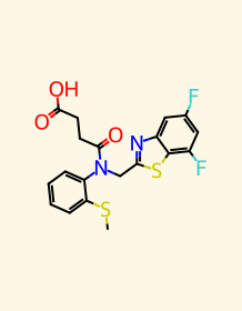 CSc1ccccc1N(Cc1nc2cc(F)cc(F)c2s1)C(=O)CCC(=O)O